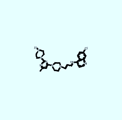 CCN1CCN(c2nc(C)cc(N3CCN(CCCNc4ccnc5cc(Cl)ccc45)CC3)n2)CC1